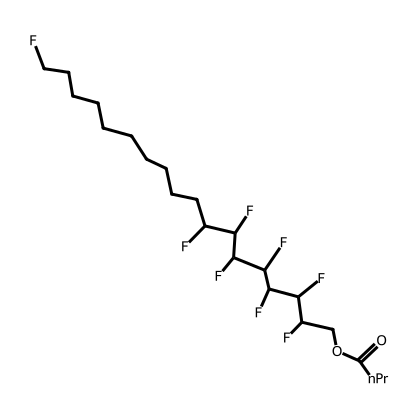 CCCC(=O)OCC(F)C(F)C(F)C(F)C(F)C(F)C(F)CCCCCCCCCCF